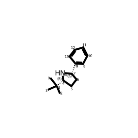 CC(C)(C)[C@H]1CC[C@@H](c2ccccc2)N1